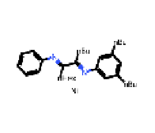 CCCCCCC(=N\c1ccccc1)/C(CCCC)=N/c1cc(CCCC)cc(CCCC)c1.[Ni]